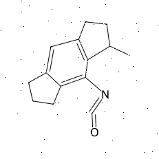 CC1CCc2cc3c(c(N=C=O)c21)CCC3